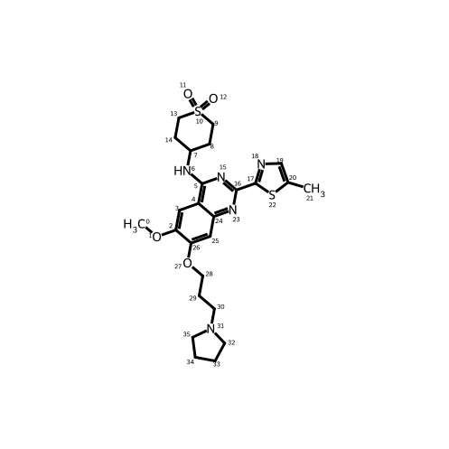 COc1cc2c(NC3CCS(=O)(=O)CC3)nc(-c3ncc(C)s3)nc2cc1OCCCN1CCCC1